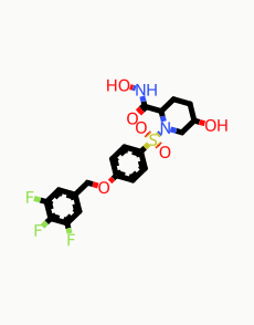 O=C(NO)C1CCC(O)CN1S(=O)(=O)c1ccc(OCc2cc(F)c(F)c(F)c2)cc1